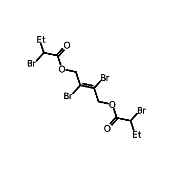 CCC(Br)C(=O)OC/C(Br)=C(\Br)COC(=O)C(Br)CC